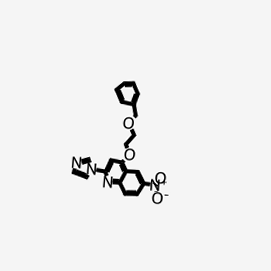 O=[N+]([O-])c1ccc2nc(-n3ccnc3)cc(OCCOCc3ccccc3)c2c1